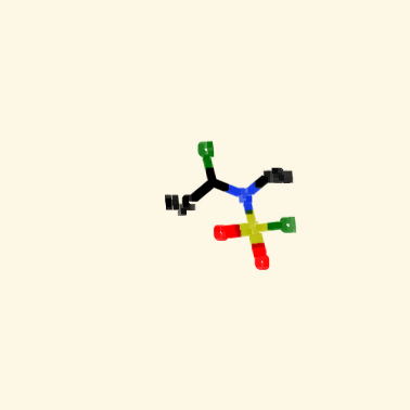 CCCCN(C(C)Cl)S(=O)(=O)Cl